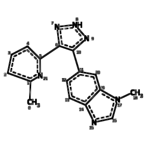 Cc1cccc(-c2n[nH]nc2-c2ccc3ncn(C)c3c2)n1